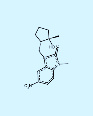 Cn1c(=O)n(C[C@@H]2CCC[C@]2(C)O)c2cc([N+](=O)[O-])ccc21